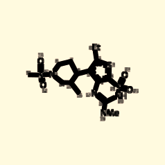 CCc1sc2c(c1C1CCN(S(C)(=O)=O)CC1C)N=C(NC)NS2(=O)=O